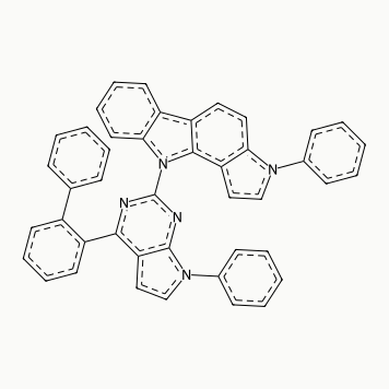 c1ccc(-c2ccccc2-c2nc(-n3c4ccccc4c4ccc5c(ccn5-c5ccccc5)c43)nc3c2ccn3-c2ccccc2)cc1